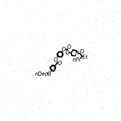 CCCCCCCCCCOc1ccc(C(=O)Oc2ccc(OC(=O)OC3CCN(C(=O)C(CC)CCC)CC3)cc2)cc1